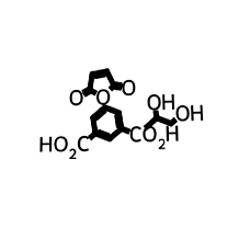 CC(O)CO.O=C(O)c1cccc(C(=O)O)c1.O=C1C=CC(=O)O1